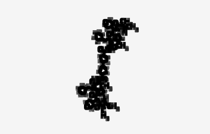 CN[C@@H](C)C(=O)N[C@H](C(=O)N1CC[C@H](C)C1N(CCc1ccccc1)C(=O)CNC(=O)c1ccc(-c2ccc(C(=O)NCC(=O)N(CCc3ccccc3)C3[C@@H](C)CCN3C(=O)[C@@H](NC(=O)[C@H](C)NC)C3CCOCC3)cc2)cc1)C1CCOCC1